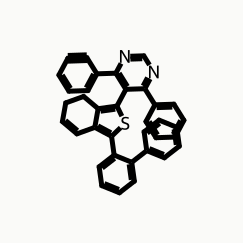 c1cccc(-c2ncnc(-c3ccccc3)c2-c2sc(-c3ccccc3-c3ccccc3)c3c2CCC=C3)c#1